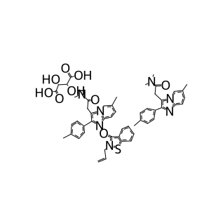 C=CCn1sc2ccccc2c1=O.Cc1ccc(-c2nc3ccc(C)cn3c2CC(=O)N(C)C)cc1.Cc1ccc(-c2nc3ccc(C)cn3c2CC(=O)N(C)C)cc1.O=C(O)C(O)C(O)C(=O)O